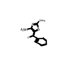 CSc1nc(NC(C)=O)c(C(=O)c2ccccc2)s1